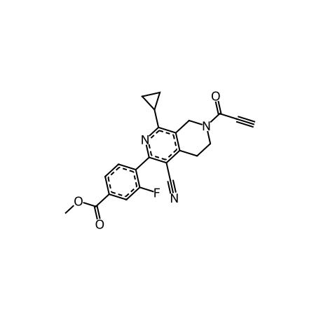 C#CC(=O)N1CCc2c(C#N)c(-c3ccc(C(=O)OC)cc3F)nc(C3CC3)c2C1